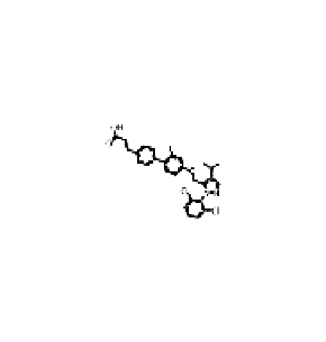 Cc1cc(OCc2c(C(C)C)cnn2-c2c(Cl)cccc2Cl)ccc1-c1ccc(CCC(=O)O)cc1